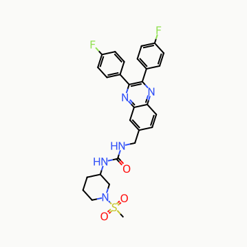 CS(=O)(=O)N1CCCC(NC(=O)NCc2ccc3nc(-c4ccc(F)cc4)c(-c4ccc(F)cc4)nc3c2)C1